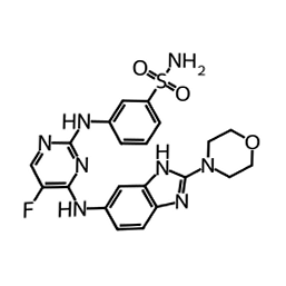 NS(=O)(=O)c1cccc(Nc2ncc(F)c(Nc3ccc4nc(N5CCOCC5)[nH]c4c3)n2)c1